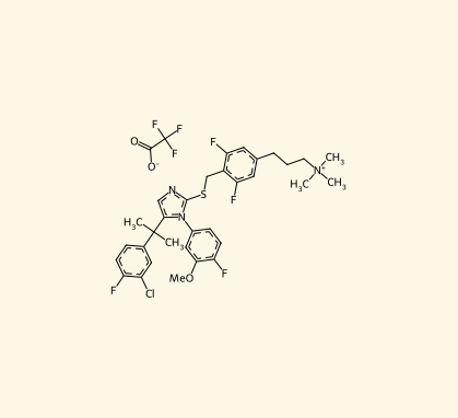 COc1cc(-n2c(C(C)(C)c3ccc(F)c(Cl)c3)cnc2SCc2c(F)cc(CCC[N+](C)(C)C)cc2F)ccc1F.O=C([O-])C(F)(F)F